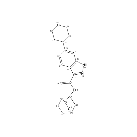 O=C(OC1CN2CCC1CC2)c1n[nH]c2cc(C3CCOCC3)ccc12